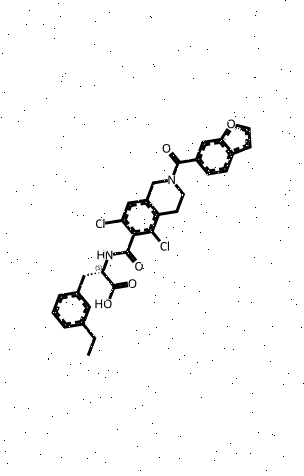 CCc1cccc(C[C@H](NC(=O)c2c(Cl)cc3c(c2Cl)CCN(C(=O)c2ccc4ccoc4c2)C3)C(=O)O)c1